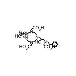 O=C(O)CN1CCN(CC(O)CN(CCc2ccccc2)CC(=O)O)CCN(CC(=O)O)CCN(CP(=O)(O)O)CC1